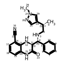 C[C@H](CN[C@H](c1ccccc1)[C@@H]1Nc2c(C#N)cccc2NC1=O)c1cnn(C)c1